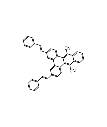 N#Cc1c2ccccc2c(C#N)c2c3ccc(C=Cc4ccccc4)cc3c3cc(C=Cc4ccccc4)ccc3c12